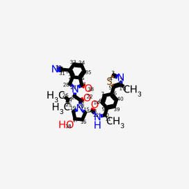 Cc1ncsc1-c1ccc([C@H](C)NC(=O)[C@@H]2C[C@@H](O)CN2C(=O)[C@H](C(C)C)N2Cc3c(C#N)cccc3C2=O)cc1